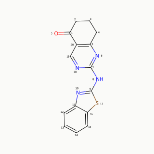 O=C1CCCc2nc(Nc3nc4ccccc4s3)ncc21